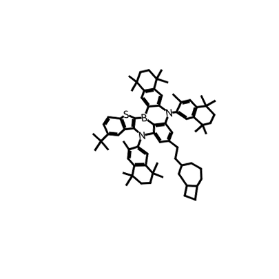 Cc1cc2c(cc1N1c3cc4c(cc3B3c5sc6ccc(C(C)(C)C)cc6c5N(c5cc6c(cc5C)C(C)(C)CCC6(C)C)c5cc(CCC6CCCC7CCC7C6)cc1c53)C(C)(C)CCC4(C)C)C(C)(C)CCC2(C)C